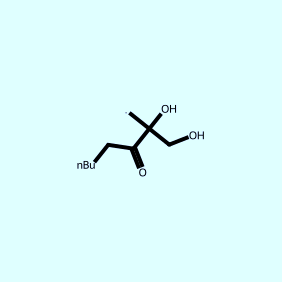 [CH2]C(O)(CO)C(=O)CCCCC